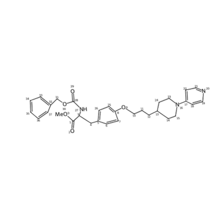 COC(=O)C(Cc1ccc(OCCCC2CCN(c3ccncc3)CC2)cc1)NC(=O)OCc1ccccc1